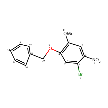 COc1cc([N+](=O)[O-])c(Br)cc1OCc1ccccc1